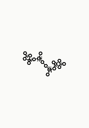 c1ccc(-c2cc(-c3ccc(-n4c5c(c6ccccc64)-c4ccccc4N(c4ccccc4)c4ccccc4-5)cc3)nc(-c3ccc(-c4ccc(-c5cc(-c6ccccc6)nc(-c6cccc(-n7c8c(c9ccccc97)-c7ccccc7N(c7ccccc7)c7ccccc7-8)c6)n5)cc4)cc3)n2)cc1